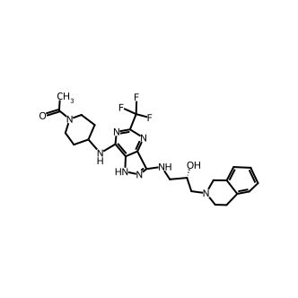 CC(=O)N1CCC(Nc2nc(C(F)(F)F)nc3c(NC[C@H](O)CN4CCc5ccccc5C4)n[nH]c23)CC1